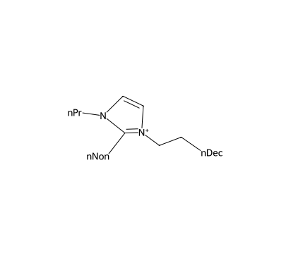 CCCCCCCCCCCC[n+]1ccn(CCC)c1CCCCCCCCC